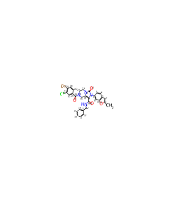 Cc1cc2ccc(-n3c(C(=O)NCc4ccccc4)c4n(c3=O)CCN(C(=O)c3ccc(Br)c(Cl)c3)C4)cc2o1